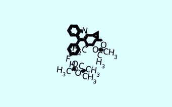 C=C(c1c(C2CC2)nc2ccccc2c1-c1ccc(F)cc1)C1CCOC(C)(C)O1.CC(=O)OC(C)(C)C